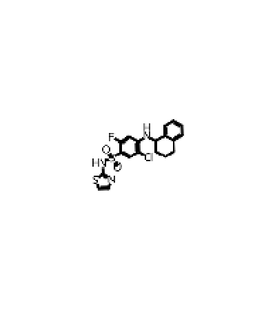 O=S(=O)(Nc1nccs1)c1cc(Cl)c(NC2CCCc3ccccc32)cc1F